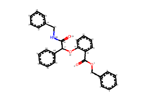 O=C(OCc1ccccc1)c1ccccc1OC(C(=O)NCc1ccccc1)c1ccccc1